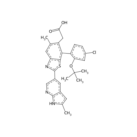 Cc1cc2cc(-c3nc4cc(C)c(CC(=O)O)c(-c5ccc(Cl)cc5OC(C)(C)C)c4s3)cnc2[nH]1